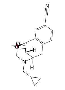 N#Cc1ccc2c(c1)[C@]13CCN(CC4CC4)[C@H](C2)[C@@H]1CCOCCOC3